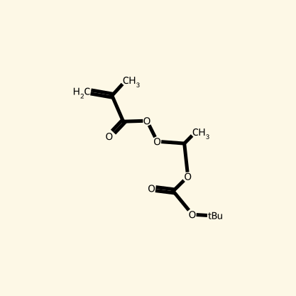 C=C(C)C(=O)OOC(C)OC(=O)OC(C)(C)C